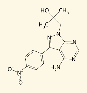 CC(C)(O)Cn1nc(-c2ccc([N+](=O)[O-])cc2)c2c(N)ncnc21